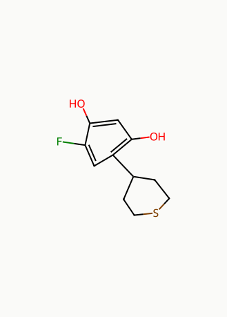 Oc1cc(O)c(C2CCSCC2)cc1F